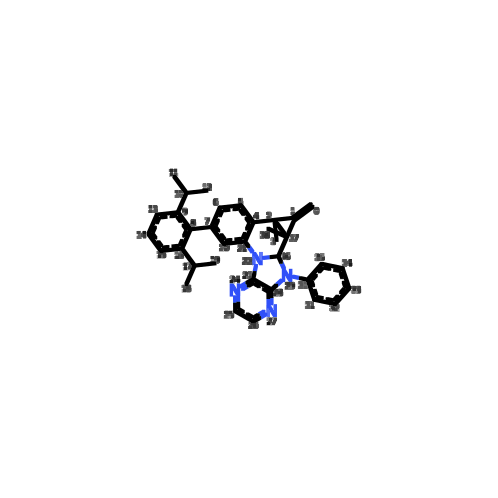 C=C1C2(C)c3ccc(-c4c(C(C)C)cccc4C(C)C)cc3N3c4nccnc4N(c4ccccc4)C3C12C